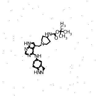 CC(C)(C)OC(=O)NC1CCN(Cc2c[nH]c3ncnc(Nc4ccc5[nH]ncc5c4)c23)CC1